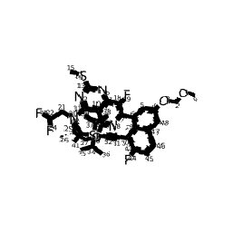 COCOc1cc(-c2nc3c4c(nc(SC)nc4c2F)N(CC(F)F)[C@@H](C)CO3)c2c(C#C[Si](C(C)C)(C(C)C)C(C)C)c(F)ccc2c1